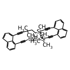 CC(C)(C)C#Cc1cccc2cccc(C#CC(C)(C)CC[Si](C)(C)C#Cc3cccc4cccc(C#C[Si](C)(C)C)c34)c12